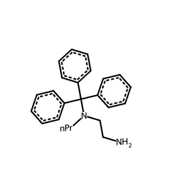 CCCN(CCN)C(c1ccccc1)(c1ccccc1)c1ccccc1